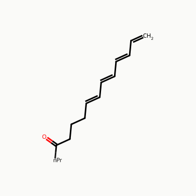 C=CC=CC=CC=CCCCC(=O)CCC